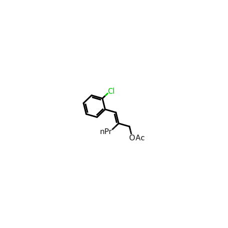 CCC/C(=C\c1ccccc1Cl)COC(C)=O